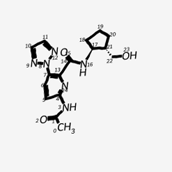 CC(=O)Nc1ccc(-n2nccn2)c(C(=O)N[C@H]2CCC[C@@H]2CO)n1